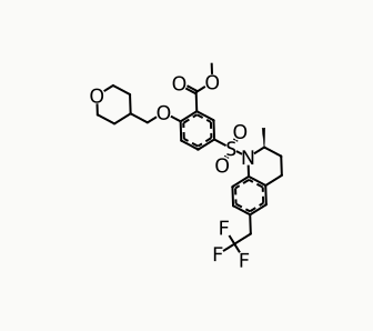 COC(=O)c1cc(S(=O)(=O)N2c3ccc(CC(F)(F)F)cc3CC[C@@H]2C)ccc1OCC1CCOCC1